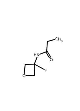 CCC(=O)NC1(F)COC1